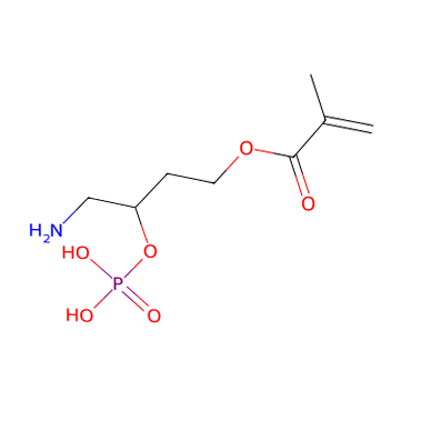 C=C(C)C(=O)OCCC(CN)OP(=O)(O)O